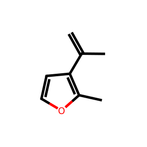 C=C(C)c1ccoc1C